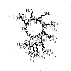 NCCCC[C@@H]1NC(=O)[C@H](CCCN=C(N)N)NC(=O)CCCCC(=O)NCCN(CC(=O)N[C@@H](CCCN=C(N)N)C(=O)N[C@@H](CCCN=C(N)N)C(=O)N[C@@H](CCCN=C(N)N)C(=O)N[C@@H](CS)C(N)=O)C(=O)[C@H](CCCN=C(N)N)NC(=O)[C@H](CCCN=C(N)N)NC(=O)[C@H](CCCCN)NC1=O